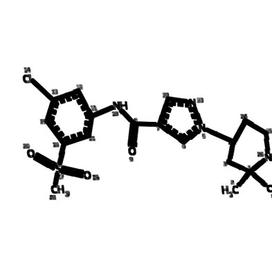 CC1(C)CC(n2cc(C(=O)Nc3cc(Cl)cc(S(C)(=O)=O)c3)cn2)CCN1